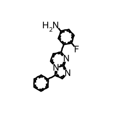 Nc1ccc(F)c(-c2ccn3c(-c4ccccc4)cnc3n2)c1